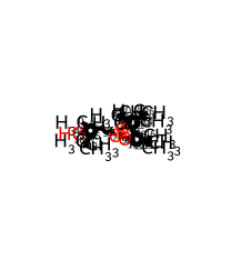 Cc1cc(CCCOp2oc3ccc(C(C)(C)C)cc3c3cc(C(C)(C)C)cc(C(C)(C)C)c3o2)cc(C(C)(C)C)c1O